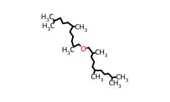 CC(C)CCCC(C)CCCC(C)COCC(C)CCCC(C)CCCC(C)C